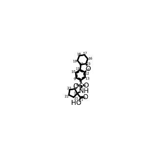 O=C(O)C1(NS(=O)(=O)c2ccc3c(c2)OC2CCCCC32)CCCC1